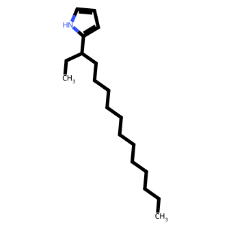 CCCCCCCCCCCCC(CC)c1ccc[nH]1